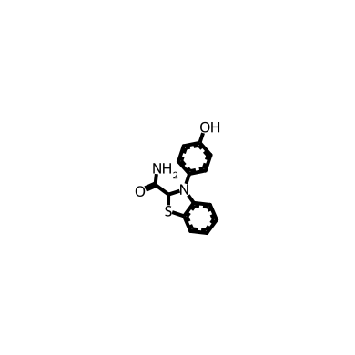 NC(=O)C1Sc2ccccc2N1c1ccc(O)cc1